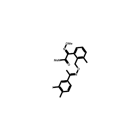 CNC(=O)/C(=N/OC)c1cccc(C)c1CO/N=C(\C)c1ccc(C)c(I)c1